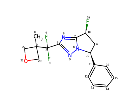 CC1(C(F)(F)c2nc3n(n2)[C@H](c2ccccc2)C[C@@H]3F)COC1